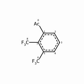 CC(=O)c1cccc(C(F)(F)F)c1C(F)(F)F